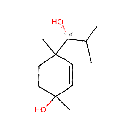 CC(C)[C@@H](O)C1(C)C=CC(C)(O)CC1